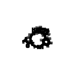 CC(C)C(=O)N1CCNCc2cccc(c2)-c2cnn3ccc(nc23)NCC1